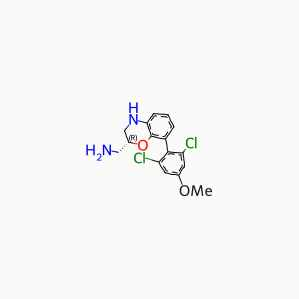 COc1cc(Cl)c(-c2cccc3c2O[C@H](CN)CN3)c(Cl)c1